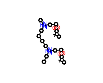 CC1(C)c2ccccc2-c2cc3c(cc21)Oc1c(cccc1-c1ccc(-c2nc(-c4ccccc4)nc(-c4ccc(-c5cccc(-c6ccc(-c7ccc(-c8nc(-c9ccc(-c%10ccccc%10)cc9)nc(-c9ccc(-c%10cccc%11c%10Oc%10cc%12c(cc%10O%11)-c%10ccccc%10C%12(C)C)cc9)n8)cc7)cc6)c5)cc4)n2)cc1)O3